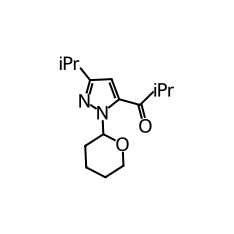 CC(C)C(=O)c1cc(C(C)C)nn1C1CCCCO1